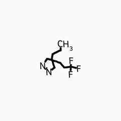 CCCC1(CCC(F)(F)F)CN=NC1